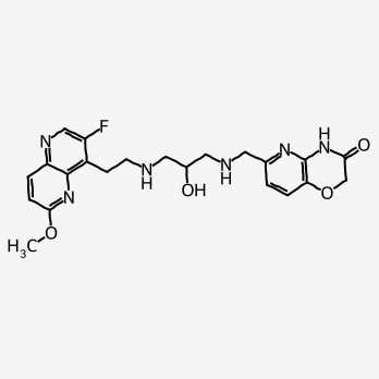 COc1ccc2ncc(F)c(CCNCC(O)CNCc3ccc4c(n3)NC(=O)CO4)c2n1